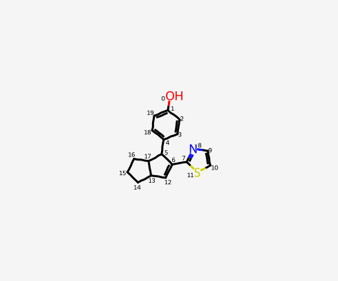 Oc1ccc(C2C(c3nccs3)=CC3CCCC32)cc1